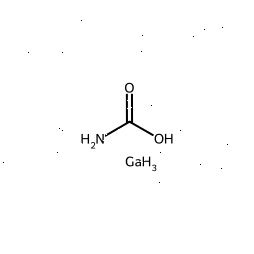 NC(=O)O.[GaH3]